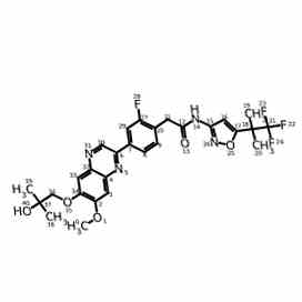 COc1cc2nc(-c3ccc(CC(=O)Nc4cc(C(C)(C)C(F)(F)F)on4)c(F)c3)cnc2cc1OCC(C)(C)O